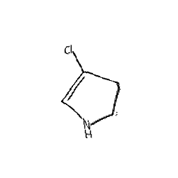 ClC1=CN[C]C1